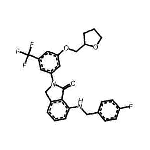 O=C1c2c(cccc2NCc2ccc(F)cc2)CN1c1cc(OCC2CCCO2)cc(C(F)(F)F)c1